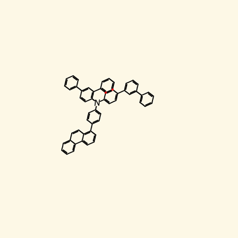 c1ccc(-c2cccc(-c3ccc(N(c4ccc(-c5cccc6c5ccc5ccccc56)cc4)c4ccc(-c5ccccc5)cc4-c4ccccc4)cc3)c2)cc1